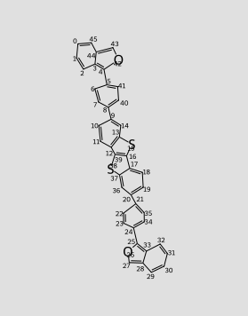 c1ccc2c(-c3ccc(-c4ccc5c(c4)sc4c6ccc(-c7ccc(-c8occ9ccccc89)cc7)cc6sc54)cc3)occ2c1